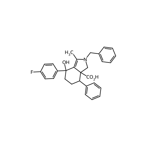 CC1=C2C(O)(c3ccc(F)cc3)CCC(c3ccccc3)C2(C(=O)O)CN1Cc1ccccc1